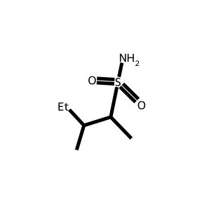 CCC(C)C(C)S(N)(=O)=O